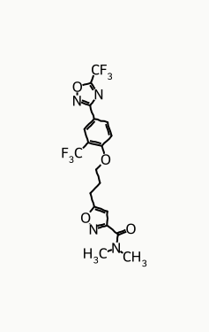 CN(C)C(=O)c1cc(CCCOc2ccc(-c3noc(C(F)(F)F)n3)cc2C(F)(F)F)on1